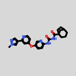 Cn1cc(-c2cc(Oc3ccc(NC(=O)NC(=O)C45CCCC(CC4)C5)nc3)ccn2)cn1